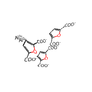 O=C([O-])c1ccc(C(=O)[O-])o1.O=C([O-])c1ccc(C(=O)[O-])o1.O=C([O-])c1ccc(C(=O)[O-])o1.[Al+3].[Al+3]